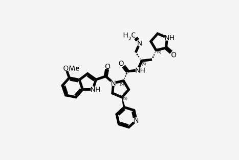 C=NC[C@H](C[C@@H]1CCNC1=O)NC(=O)[C@@H]1C[C@@H](c2cccnc2)CN1C(=O)c1cc2c(OC)cccc2[nH]1